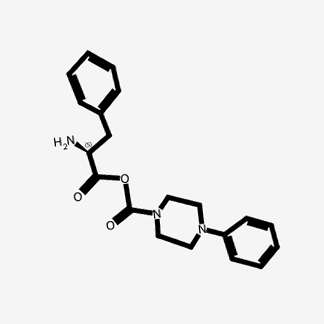 N[C@@H](Cc1ccccc1)C(=O)OC(=O)N1CCN(c2ccccc2)CC1